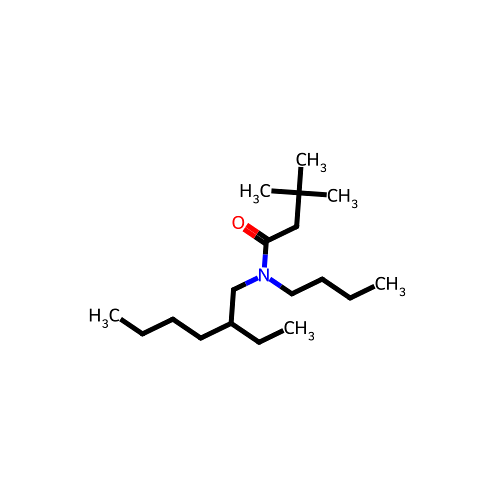 CCCCC(CC)CN(CCCC)C(=O)CC(C)(C)C